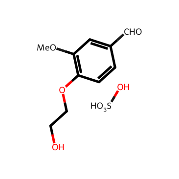 COc1cc(C=O)ccc1OCCO.O=S(=O)(O)O